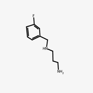 NCCCNCc1cccc(F)c1